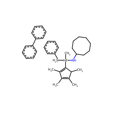 CC1=C(C)C(C)[C]([Hf]([CH3])([NH]C2CCCCCCC2)[SiH2]c2ccccc2)=C1C.c1ccc(-c2ccccc2)cc1